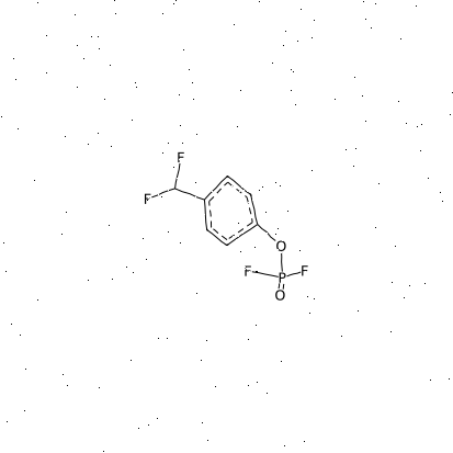 O=P(F)(F)Oc1ccc(C(F)F)cc1